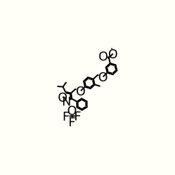 COC(=O)c1cccc(OCc2ccc(OCc3c(-c4ccccc4OC(F)(F)F)noc3C(C)C)cc2C)c1